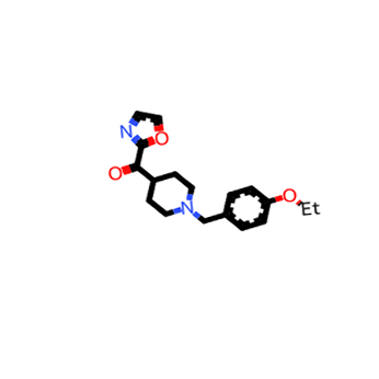 CCOc1ccc(CN2CCC(C(=O)c3ncco3)CC2)cc1